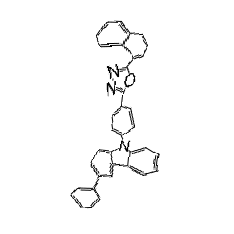 c1ccc(-c2ccc3c(c2)c2ccccc2n3-c2ccc(-c3nnc(-c4cccc5ccccc45)o3)cc2)cc1